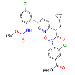 COC(=O)c1ccc(NC(=O)C(CC2CC2)c2ccc(-c3cc(Cl)ccc3NC(=O)OC(C)(C)C)c[n+]2[O-])c(Cl)c1